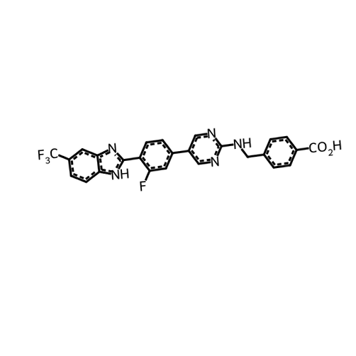 O=C(O)c1ccc(CNc2ncc(-c3ccc(-c4nc5cc(C(F)(F)F)ccc5[nH]4)c(F)c3)cn2)cc1